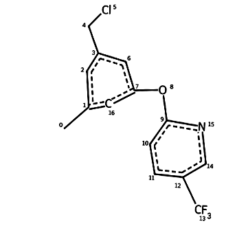 Cc1cc(CCl)cc(Oc2ccc(C(F)(F)F)cn2)c1